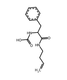 C=CCCNC(=O)C(Cc1ccccc1)NC(=O)O